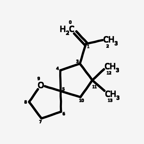 C=C(C)C1CC2(CCCO2)CC1(C)C